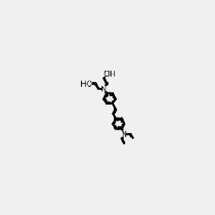 CCN(CC)c1ccc(C=Cc2ccc(N(CCO)CCO)cc2)cc1